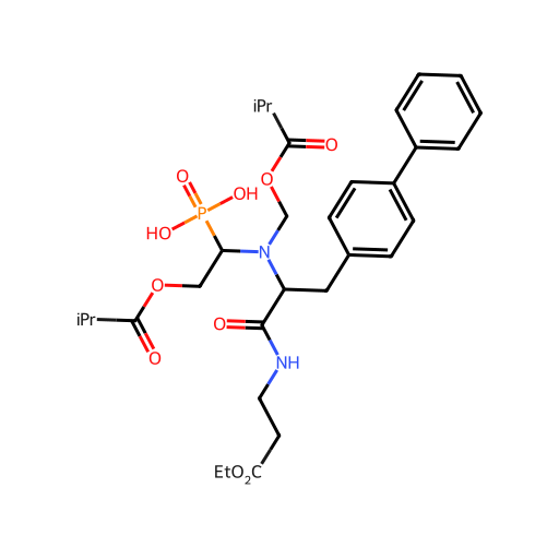 CCOC(=O)CCNC(=O)C(Cc1ccc(-c2ccccc2)cc1)N(COC(=O)C(C)C)C(COC(=O)C(C)C)P(=O)(O)O